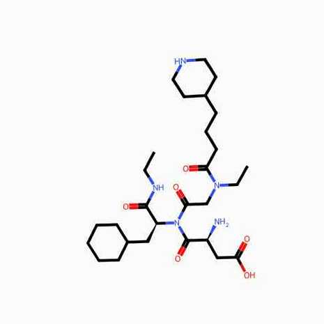 CCNC(=O)[C@H](CC1CCCCC1)N(C(=O)CN(CC)C(=O)CCCC1CCNCC1)C(=O)[C@@H](N)CC(=O)O